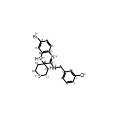 Clc1cccc(CNC2=Nc3ccc(Br)cc3NC23CCSCC3)c1